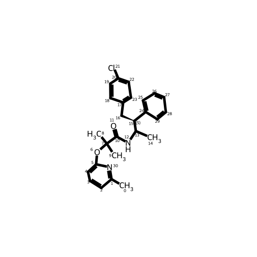 Cc1cccc(OC(C)(C)C(=O)NC(C)[C@@H](Cc2ccc(Cl)cc2)c2ccccc2)n1